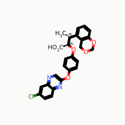 C[C@H](c1cccc2c1COCO2)[C@@H](Oc1ccc(Oc2cnc3cc(Cl)ccc3n2)cc1)C(=O)O